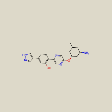 CC1C[C@@H](N)C[C@@H](Oc2cnc(-c3ccc(-c4cn[nH]c4)cc3O)cn2)C1